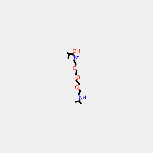 CC(C)=C(O)N(C)CCOCCOCCOCCNC(C)C